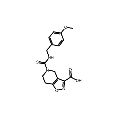 COc1ccc(CNC(=S)N2CCc3onc(C(=O)O)c3C2)cc1